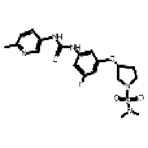 Cc1ccc(NC(=O)Nc2cc(F)cc(O[C@H]3CCN(S(=O)(=O)N(C)C)C3)c2)cn1